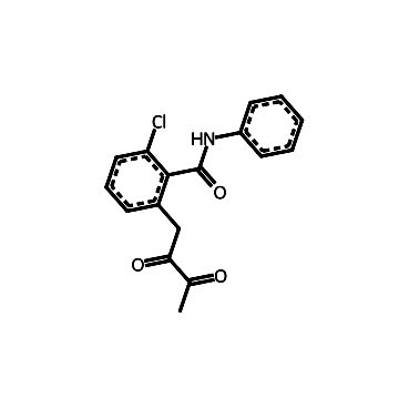 CC(=O)C(=O)Cc1cccc(Cl)c1C(=O)Nc1ccccc1